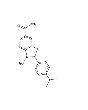 CC(C)c1ccc(C2Sc3cc(C(N)=O)ccc3N2O)cc1